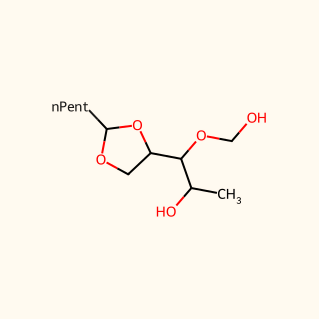 CCCCCC1OCC(C(OCO)C(C)O)O1